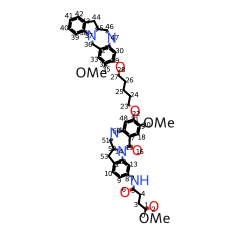 COC(=O)CCC(=O)Nc1ccc2c(c1)N1C(=O)c3cc(OC)c(OCCCCCOc4cc5c(cc4OC)CN4c6ccccc6CC4C=N5)cc3N=CC1C2